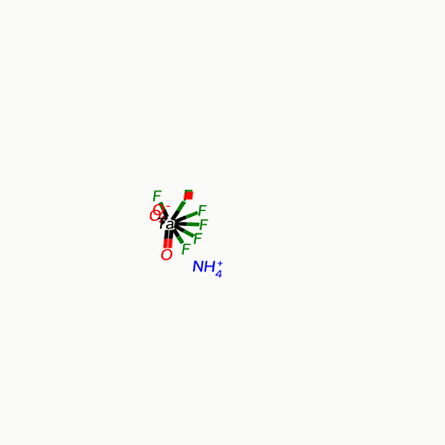 [NH4+].[O]=[Ta](=[O])([O-])([F])([F])([F])([F])([F])([F])[F]